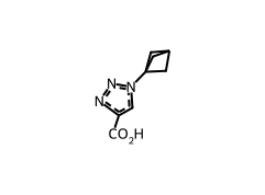 O=C(O)c1cn(C23CC(C2)C3)nn1